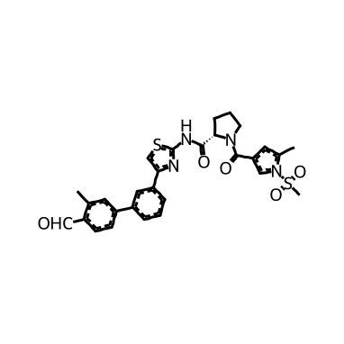 Cc1cc(-c2cccc(-c3csc(NC(=O)[C@@H]4CCCN4C(=O)c4cc(C)n(S(C)(=O)=O)c4)n3)c2)ccc1C=O